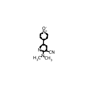 CN(C)c1ncc(-c2cc[n+]([O-])cc2)cc1C#N